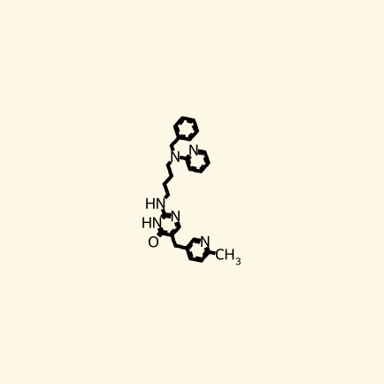 Cc1ccc(Cc2cnc(NCCCCN(Cc3ccccc3)c3ccccn3)[nH]c2=O)cn1